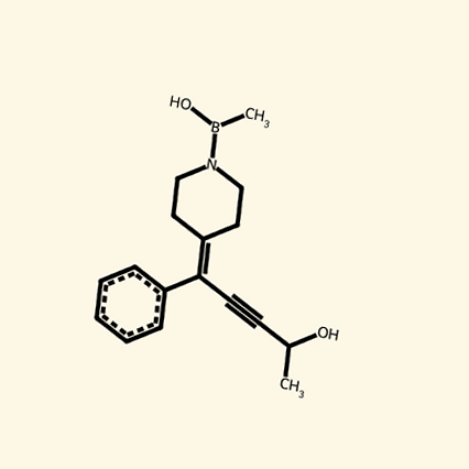 CB(O)N1CCC(=C(C#CC(C)O)c2ccccc2)CC1